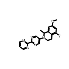 COc1cc(F)c2c(c1)C(C)N(c1cnc(-c3ncccn3)nc1)CC2